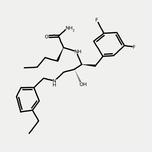 CCCC[C@H](N[C@@H](Cc1cc(F)cc(F)c1)[C@H](O)CNCc1cccc(CC)c1)C(N)=O